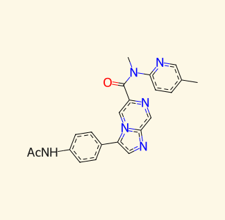 CC(=O)Nc1ccc(-c2cnc3cnc(C(=O)N(C)c4ccc(C)cn4)cn23)cc1